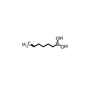 C=CCCCCB(O)O